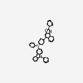 c1ccc(-c2nc3c(cc(-c4ccc(N(c5ccccc5)c5ccc6c(c5)c5ccccc5n6-c5ccccc5)cc4)c4ccccc43)o2)cc1